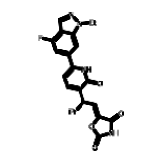 CCn1ncc2c(F)cc(-c3ccc(C(/C=C4\OC(=O)NC4=O)C(C)C)c(=O)[nH]3)cc21